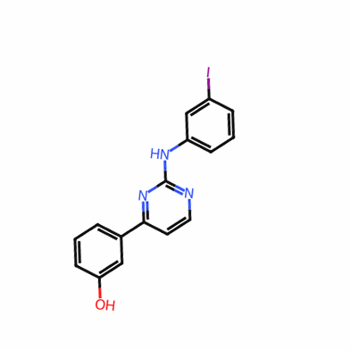 Oc1cccc(-c2ccnc(Nc3cccc(I)c3)n2)c1